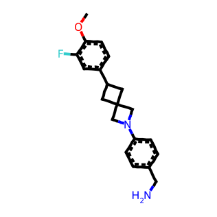 COc1ccc(C2CC3(C2)CN(c2ccc(CN)cc2)C3)cc1F